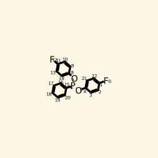 Fc1ccc(OP(Oc2ccc(F)cc2)c2ccccc2)cc1